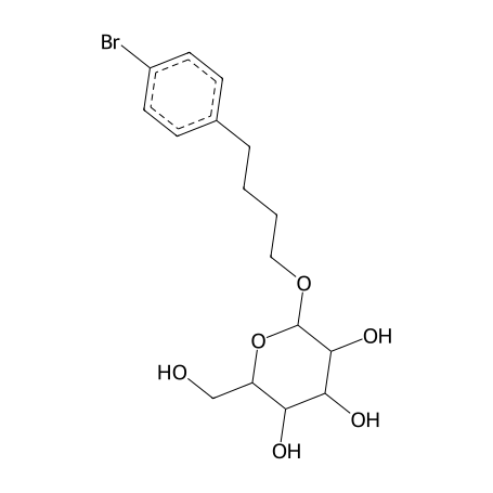 OCC1OC(OCCCCc2ccc(Br)cc2)C(O)C(O)C1O